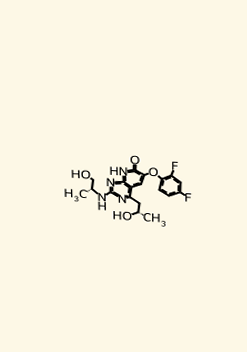 C[C@H](O)Cc1nc(N[C@H](C)CO)nc2[nH]c(=O)c(Oc3ccc(F)cc3F)cc12